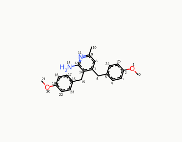 COc1ccc(Cc2cc(C)nc(N)c2Cc2ccc(OC)cc2)cc1